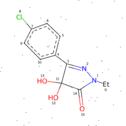 CCN1N=C(c2ccc(Cl)cc2)C(O)(O)C1=O